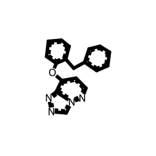 c1ccc(Cc2ccccc2Oc2ccnn3cnnc23)cc1